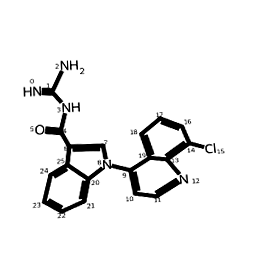 N=C(N)NC(=O)c1cn(-c2ccnc3c(Cl)cccc23)c2ccccc12